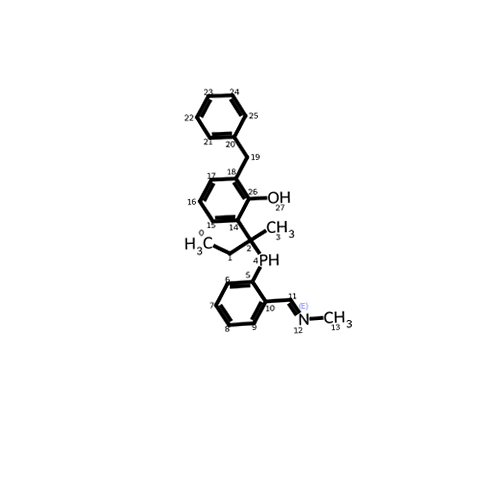 CCC(C)(Pc1ccccc1/C=N/C)c1cccc(Cc2ccccc2)c1O